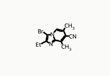 CCc1nc2c(C)c(C#N)c(C)cn2c1Br